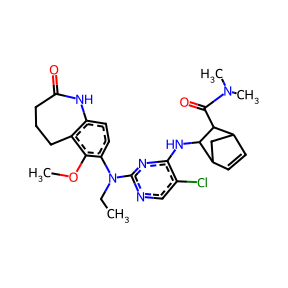 CCN(c1ncc(Cl)c(NC2C3C=CC(C3)C2C(=O)N(C)C)n1)c1ccc2c(c1OC)CCCC(=O)N2